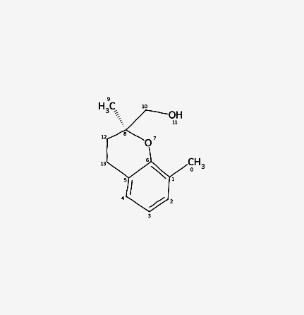 Cc1cccc2c1O[C@](C)(CO)CC2